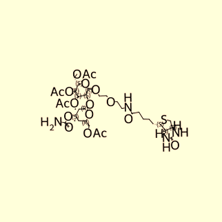 CC(=O)OC[C@H]1[CH][C@H](OC(N)=O)[CH][C@@H](O[C@@H]2[C@H](OCCOCCNC(=O)CCCC[C@@H]3SC[C@@H]4NC(=O)N[C@@H]43)O[C@@H](COC(C)=O)[C@@H](OC(C)=O)[C@@H]2OC(C)=O)O1